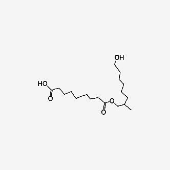 CC(CCCCCCO)COC(=O)CCCCCCCC(=O)O